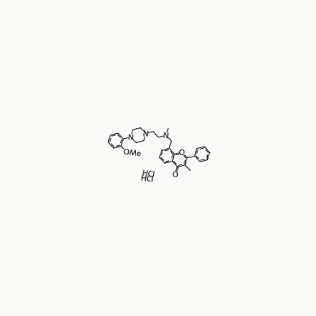 COc1ccccc1N1CCN(CCN(C)Cc2cccc3c(=O)c(C)c(-c4ccccc4)oc23)CC1.Cl.Cl